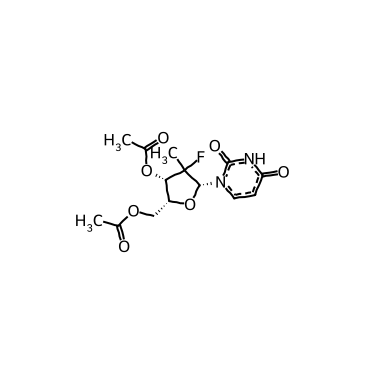 CC(=O)OC[C@H]1O[C@@H](n2ccc(=O)[nH]c2=O)C(C)(F)[C@H]1OC(C)=O